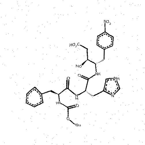 CC(C)(C)OC(=O)N[C@@H](Cc1ccccc1)C(=O)N[C@@H](Cc1c[nH]cn1)C(=O)N[C@@H](Cc1ccc([N+](=O)[O-])cc1)[C@@H](O)CC(=O)O